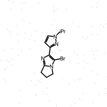 CC(C)n1ccc(-c2nc3n(c2Br)CCC3)n1